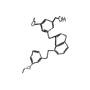 CCOc1cccc(CCc2cccc3c2C(Cc2cc(CO)cc(OC)c2)=CC3)c1